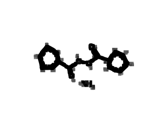 N.O=C(OOC(=O)c1ccccc1)c1ccccc1